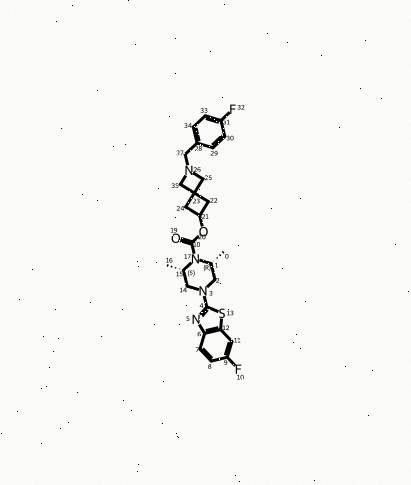 C[C@@H]1CN(c2nc3ccc(F)cc3s2)C[C@H](C)N1C(=O)OC1CC2(C1)CN(Cc1ccc(F)cc1)C2